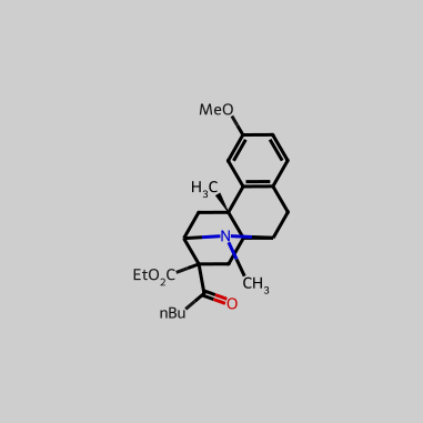 CCCCC(=O)C1(C(=O)OCC)CC2C3Cc4ccc(OC)cc4[C@@]2(C)CC1N3C